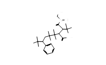 CC(C)(C)C(CC(C)(C)C(C)(C)C(C(=O)O)C(C(=O)N(S)CS)C(C)(C)C)c1ccccc1